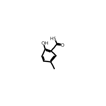 Cc1ccc(O)c(C(=O)S)c1